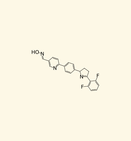 O/N=C/c1ccc(-c2ccc(C3CCC(c4c(F)cccc4F)=N3)cc2)nc1